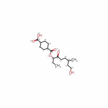 CCC(OC(=O)C1CCC(C(=O)O)CC1)C(=O)CCC(C)CCO